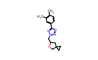 Cc1ccc(-c2nnn(CC3CC4(CC4)CO3)n2)cc1C